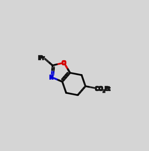 CCOC(=O)C1CCc2nc(C(C)C)oc2C1